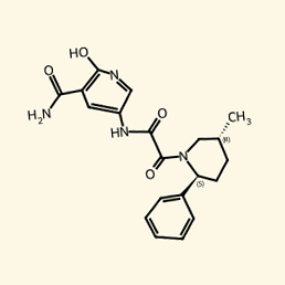 C[C@@H]1CC[C@@H](c2ccccc2)N(C(=O)C(=O)Nc2cnc(O)c(C(N)=O)c2)C1